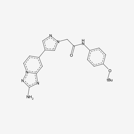 CC(C)(C)Oc1ccc(NC(=O)Cn2cc(-c3ccn4nc(N)nc4c3)cn2)cc1